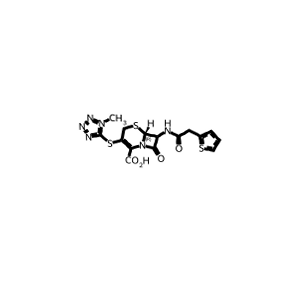 Cn1nnnc1SC1=C(C(=O)O)N2C(=O)C(NC(=O)Cc3cccs3)[C@H]2SC1